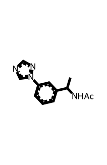 CC(=O)NC(C)c1cccc(-n2cncn2)c1